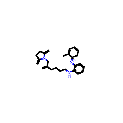 C=C(CCCCNc1ccccc1/N=C1\CC=CC=C1C)CN1C(=C)CCC1=C